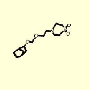 O=S1(=O)CCN(CCOCOC2CC3CCC2C3)CC1